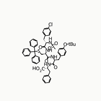 CC(C)(C)Oc1ccc(C[C@H](NC(=O)[C@@H](CSC(c2ccccc2)(c2ccccc2)c2ccccc2)NC(=O)[C@H](Cc2ccc(Cl)cc2)NS(C)(=O)=O)C(=O)N[C@H](Cc2ccccc2)C(=O)O)cc1